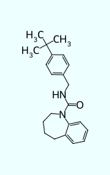 CC(C)(C)c1ccc(CNC(=O)N2CCCCc3ccccc32)cc1